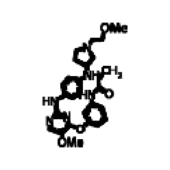 C=CC(=O)Nc1cccc(Oc2nc(Nc3ccc(NC4CCN(CCOC)C4)cc3)ncc2OC)c1